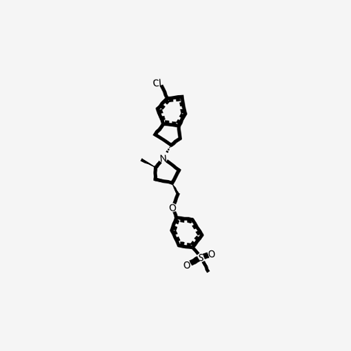 C[C@@H]1C[C@H](COc2ccc(S(C)(=O)=O)cc2)CN1[C@H]1Cc2ccc(Cl)cc2C1